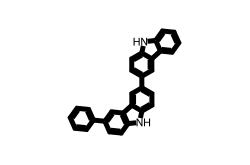 c1ccc(-c2ccc3[nH]c4ccc(-c5ccc6[nH]c7ccccc7c6c5)cc4c3c2)cc1